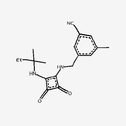 CCC(C)(C)Nc1c(NCc2cc(C)cc(C#N)c2)c(=O)c1=O